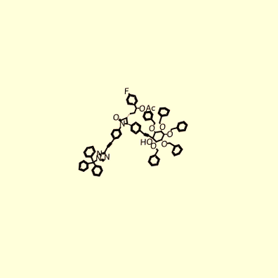 CC(=O)O[C@@H](CC[C@H]1C(=O)N(c2ccc(C#Cc3ncn(C(c4ccccc4)(c4ccccc4)c4ccccc4)n3)cc2)[C@@H]1c1ccc(C#CC2(O)[C@H](OCc3ccccc3)[C@@H](OCc3ccccc3)[C@H](OCc3ccccc3)[C@@H](OCc3ccccc3)[C@@H]2OCc2ccccc2)cc1)c1ccc(F)cc1